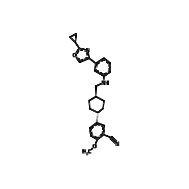 COc1ccc([C@H]2CC[C@H](CNc3cccc(-c4coc(C5CC5)n4)c3)CC2)cc1C#N